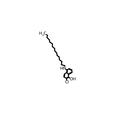 CCCCCCCCCCCCCCCCNc1cccc2c(O)c(Cl)ccc12